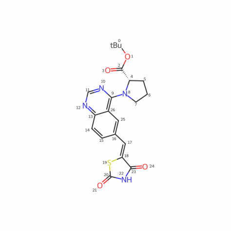 CC(C)(C)OC(=O)[C@@H]1CCCN1c1ncnc2ccc(/C=C3\SC(=O)NC3=O)cc12